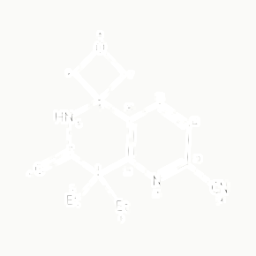 CCC1(CC)C(=O)NC2(COC2)c2ccc(C#N)nc21